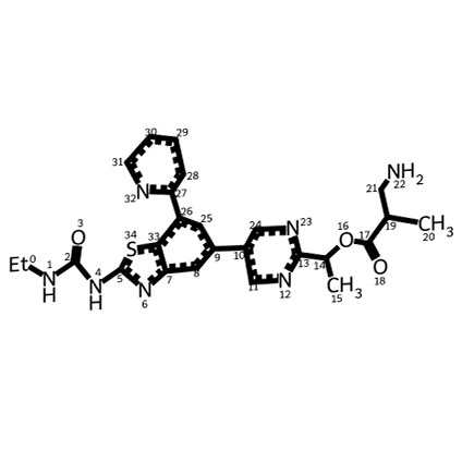 CCNC(=O)Nc1nc2cc(-c3cnc(C(C)OC(=O)C(C)CN)nc3)cc(-c3ccccn3)c2s1